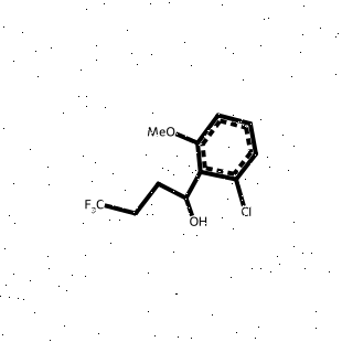 COc1cccc(Cl)c1C(O)CCC(F)(F)F